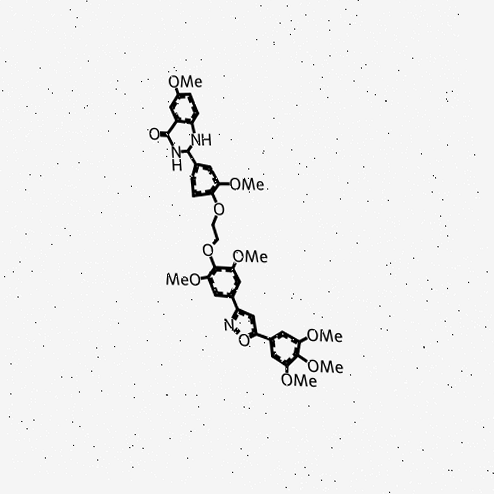 COc1ccc2c(c1)C(=O)NC(c1ccc(OCCOc3c(OC)cc(-c4cc(-c5cc(OC)c(OC)c(OC)c5)on4)cc3OC)c(OC)c1)N2